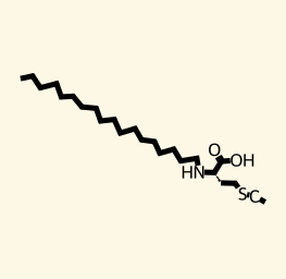 CCCCCCCCCCCCCCCCCCN[C@@H](CCSCC)C(=O)O